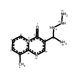 Cc1cccn2c(=O)c(C(N)NNN)cnc12